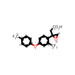 O=C(O)CC1(c2ccc(Oc3ccc(C(F)(F)F)cc3)cc2C(F)(F)F)CO1